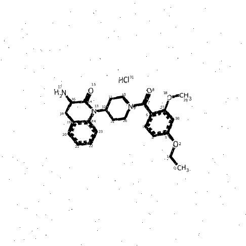 CCOc1ccc(C(=O)N2CCC(N3C(=O)C(N)Cc4ccccc43)CC2)c(OC)c1.Cl